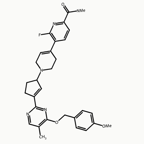 CNC(=O)c1ccc(C2=CCN(C3C=C(c4ncc(C)c(OCc5ccc(OC)cc5)n4)CC3)CC2)c(F)n1